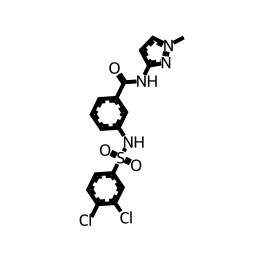 Cn1ccc(NC(=O)c2cccc(NS(=O)(=O)c3ccc(Cl)c(Cl)c3)c2)n1